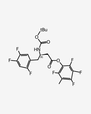 Cc1c(F)c(F)c(F)c(OC(=O)C[C@@H](Cc2cc(F)c(F)cc2F)NC(=O)OC(C)(C)C)c1F